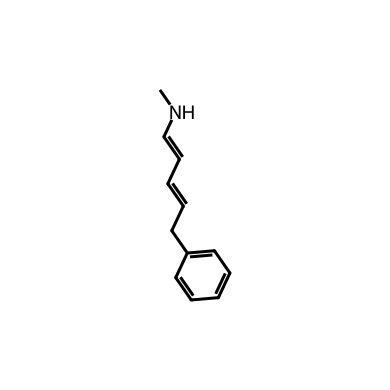 CNC=CC=CCc1ccccc1